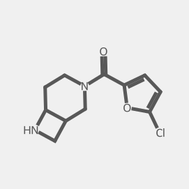 O=C(c1ccc(Cl)o1)N1CCC2NCC2C1